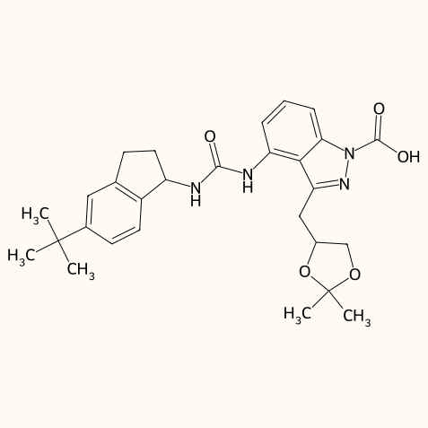 CC1(C)OCC(Cc2nn(C(=O)O)c3cccc(NC(=O)NC4CCc5cc(C(C)(C)C)ccc54)c23)O1